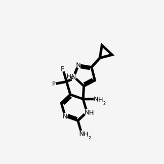 NC1=NC=C(C(F)(F)F)C(N)(c2cc(C3CC3)n[nH]2)N1